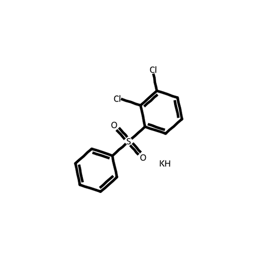 O=S(=O)(c1ccccc1)c1cccc(Cl)c1Cl.[KH]